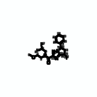 COCCN(CC(F)F)C(=O)c1nc2n(n1)[C@@H](c1ccccc1)C[C@H]2F